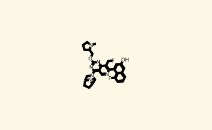 CN1CCCC1COc1nc(N2CC3CCC(C2)N3)c2cnc(-c3cc(O)cc4cccc(F)c34)c(CF)c2n1